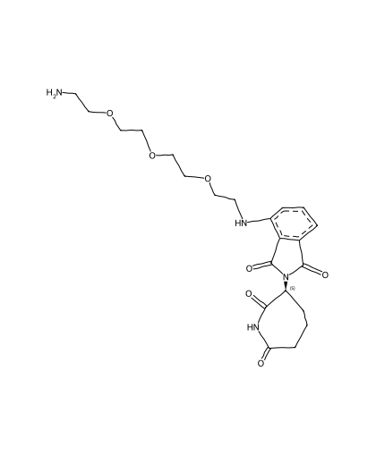 NCCOCCOCCOCCNc1cccc2c1C(=O)N([C@H]1CCCC(=O)NC1=O)C2=O